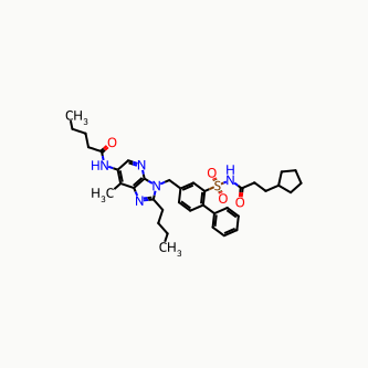 CCCCC(=O)Nc1cnc2c(nc(CCCC)n2Cc2ccc(-c3ccccc3)c(S(=O)(=O)NC(=O)CCC3CCCC3)c2)c1C